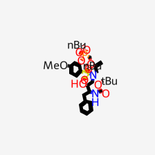 C=C(CN(CC(O)C(Cc1ccccc1)NC(=O)OC(C)(C)C)S(=O)(=O)c1ccc(OC)cc1)OCP(=O)(OCCCC)OCCCC